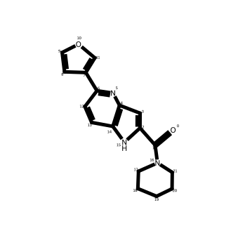 O=C(c1cc2nc(-c3ccoc3)ccc2[nH]1)N1CCCCC1